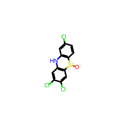 [O-][S+]1c2ccc(Cl)cc2Nc2cc(Cl)c(Cl)cc21